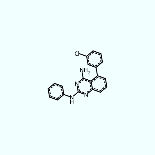 Nc1nc(Nc2ccccc2)nc2cccc(-c3cccc(Cl)c3)c12